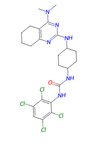 CN(C)c1nc(NC2CCC(NC(=O)Nc3c(Cl)c(Cl)cc(Cl)c3Cl)CC2)nc2c1CCCC2